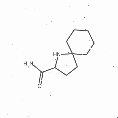 NC(=O)C1CCC2(CCCCC2)N1